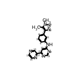 Cc1c(-c2cccc(Nc3cc(-c4cnccn4)ncn3)c2)nnn1C